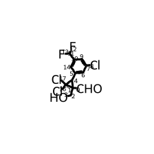 O=CC1(CO)C(c2cc(Cl)cc(C(F)F)c2)C1(Cl)Cl